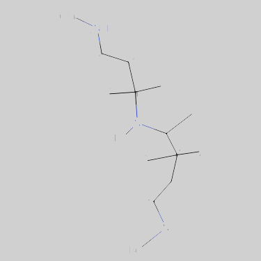 CCN(C(C)C(C)(C)CCNC(C)(C)C)C(C)(C)CCNC(C)(C)C